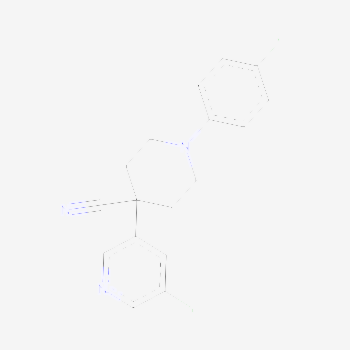 N#CC1(c2cncc(Cl)c2)CCN(c2ccc(Cl)cc2)CC1